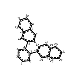 [c]1cc[c]c(-c2ccc3ccccc3c2)c1-c1ccc2ccccc2c1